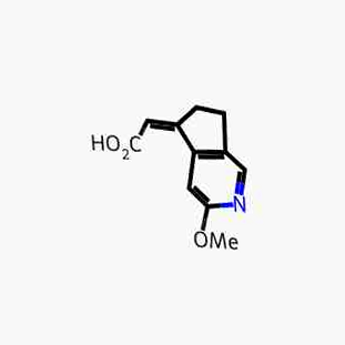 COc1cc2c(cn1)CC/C2=C/C(=O)O